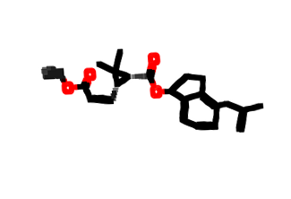 C=C(C)Cc1cccc2c1CCC2OC(=O)[C@@H]1[C@H](/C=C\C(=O)OC(C)(C)C)C1(C)C